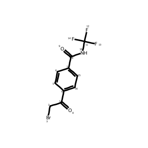 O=C(CBr)c1ccc(C(=O)NC(F)(F)F)cc1